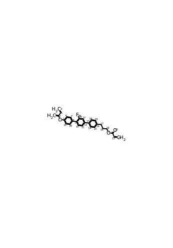 C=CC(=C)Oc1ccc(-c2ccc(-c3ccc(CCCOC(=O)C=C)cc3)cc2F)cc1